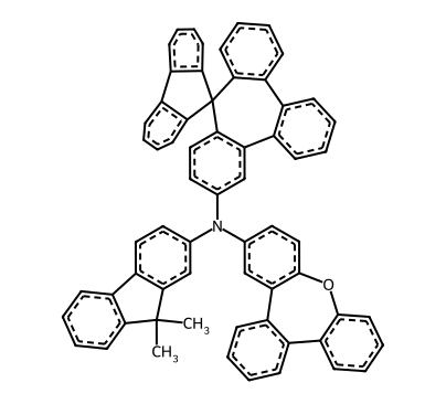 CC1(C)c2ccccc2-c2ccc(N(c3ccc4c(c3)-c3ccccc3-c3ccccc3O4)c3ccc4c(c3)-c3ccccc3-c3ccccc3C43c4ccccc4-c4ccccc43)cc21